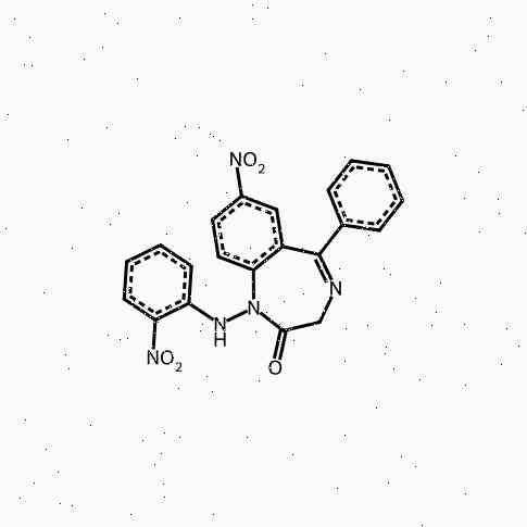 O=C1CN=C(c2ccccc2)c2cc([N+](=O)[O-])ccc2N1Nc1ccccc1[N+](=O)[O-]